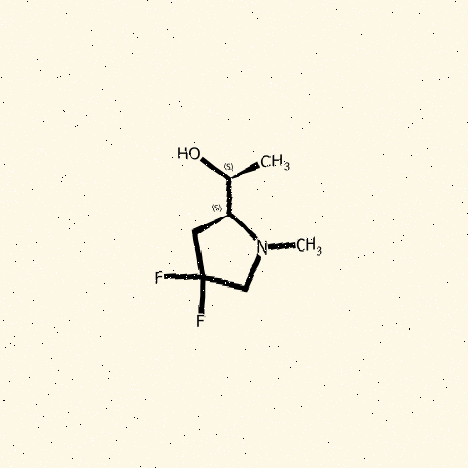 C[C@H](O)[C@@H]1CC(F)(F)CN1C